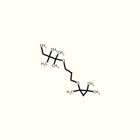 CCC(C)(C)C(C)(C)OCCCOC1(C)CC1(C)C